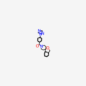 O=C(c1ccc(-n2cncn2)cc1)N1CCC2(CC1)OCc1ccccc12